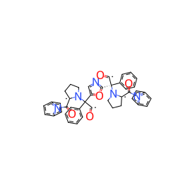 O=[C]C(c1ccccc1)(c1cnc([C@]([C]=O)(c2ccccc2)N2CCC[C]2C(=O)n2c3ccc2cc3)o1)N1CCC[C]1C(=O)n1c2ccc1cc2